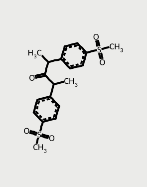 CC(C(=O)C(C)c1ccc(S(C)(=O)=O)cc1)c1ccc(S(C)(=O)=O)cc1